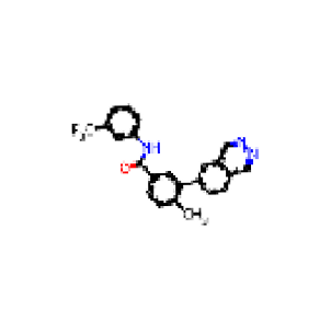 Cc1ccc(C(=O)Nc2cccc(C(F)(F)F)c2)cc1-c1ccc2cnncc2c1